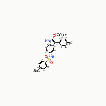 CCOC(=O)Oc1[nH]c2ccc(NS(=O)(=O)c3ccc(C(C)(C)C)cc3)cc2c1-c1ccc(Cl)cc1